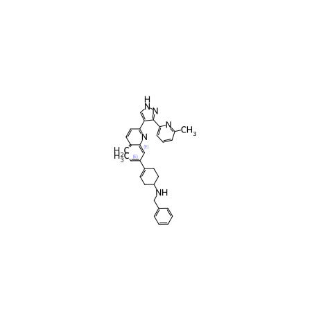 C=c1ccc(-c2c[nH]nc2-c2cccc(C)n2)n/c1=C/C(=C\C)C1=CCC(NCc2ccccc2)CC1